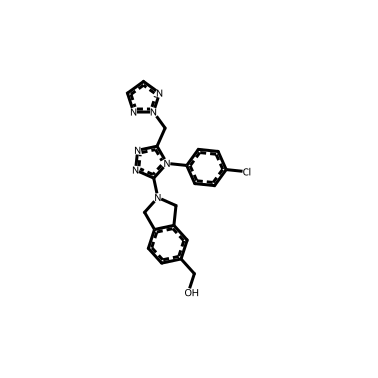 OCc1ccc2c(c1)CN(c1nnc(Cn3nccn3)n1-c1ccc(Cl)cc1)C2